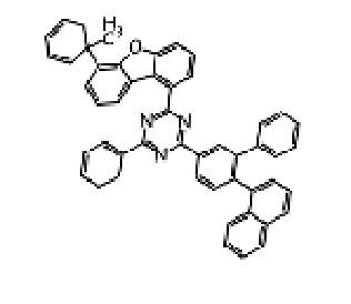 CC1(c2cccc3c2oc2cccc(-c4nc(C5=CC=CCC5)nc(-c5ccc(-c6cccc7ccccc67)c(-c6ccccc6)c5)n4)c23)C=CC=CC1